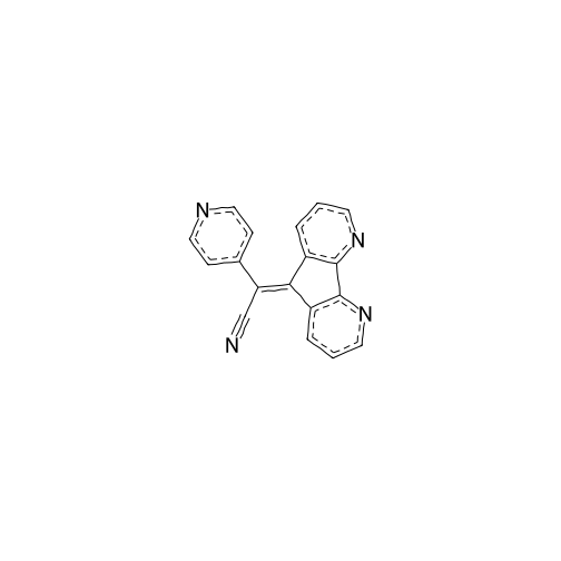 N#CC(=C1c2cccnc2-c2ncccc21)c1ccncc1